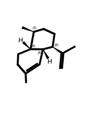 C=C(C)[C@@H]1CC[C@H](C)[C@H]2CCC(C)=C[C@H]21